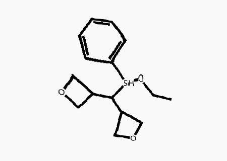 CCO[SiH](c1ccccc1)C(C1COC1)C1COC1